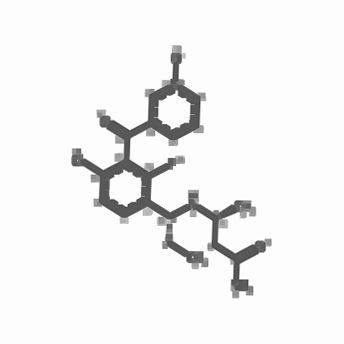 CC[C@@H](N[C@@H](C)CC(N)=O)c1ccc(Cl)c(C(=O)c2ccc[n+]([O-])c2)c1F